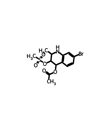 CC(=O)OC1c2ccc(Br)cc2NC(C)C1OS(C)(=O)=O